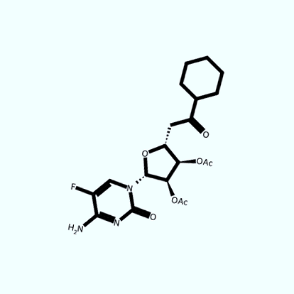 CC(=O)O[C@@H]1[C@H](OC(C)=O)[C@@H](CC(=O)C2CCCCC2)O[C@H]1n1cc(F)c(N)nc1=O